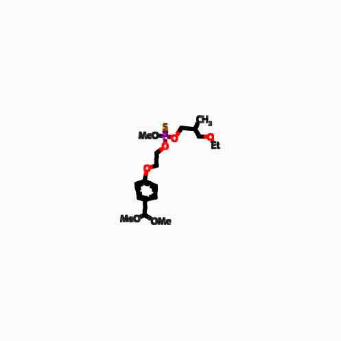 CCOCC(C)COP(=S)(OC)OCCOc1ccc(C(OC)OC)cc1